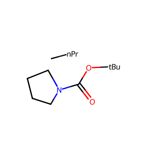 CC(C)(C)OC(=O)N1CCCC1.CCCC